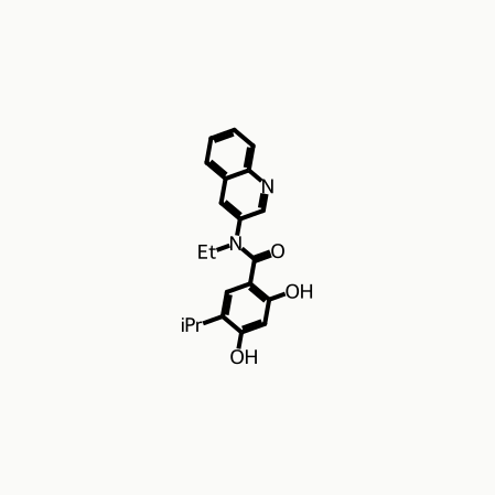 CCN(C(=O)c1cc(C(C)C)c(O)cc1O)c1cnc2ccccc2c1